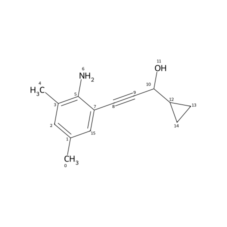 Cc1cc(C)c(N)c(C#CC(O)C2CC2)c1